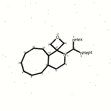 CCCCCCCC(CCCCCC)N1CCC2CCCCCCCC2C12COC2